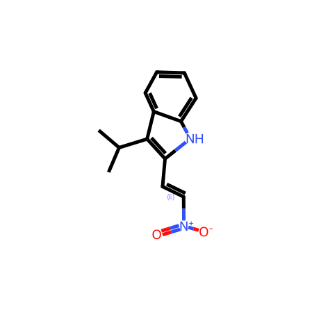 CC(C)c1c(/C=C/[N+](=O)[O-])[nH]c2ccccc12